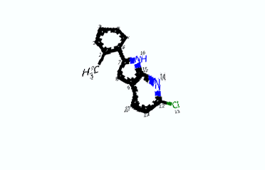 Cc1ccccc1-c1cc2ccc(Cl)nc2[nH]1